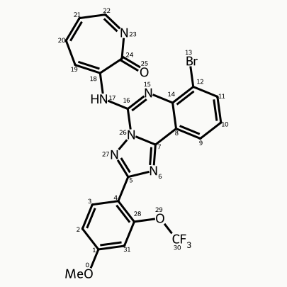 COc1ccc(-c2nc3c4cccc(Br)c4nc(Nc4ccccnc4=O)n3n2)c(OC(F)(F)F)c1